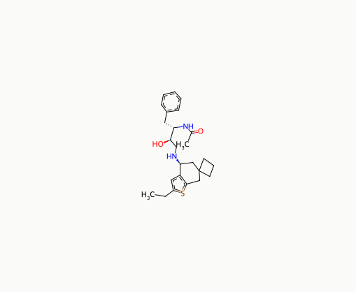 CCc1cc2c(s1)CC1(CCC1)C[C@@H]2NC[C@@H](O)[C@H](Cc1ccccc1)NC(C)=O